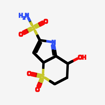 NS(=O)(=O)C1=CC2C(=N1)C(O)CCS2(=O)=O